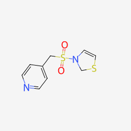 O=S(=O)(Cc1ccncc1)N1C=CSC1